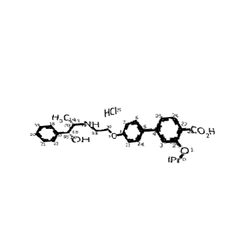 CC(C)Oc1cc(-c2ccc(OCCN[C@@H](C)[C@H](O)c3ccccc3)cc2)ccc1C(=O)O.Cl